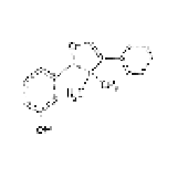 CC1(C)C(c2ccccc2)=COC1c1cccc(O)c1